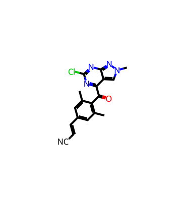 Cc1cc(/C=C/C#N)cc(C)c1C(=O)c1nc(Cl)nc2nn(C)cc12